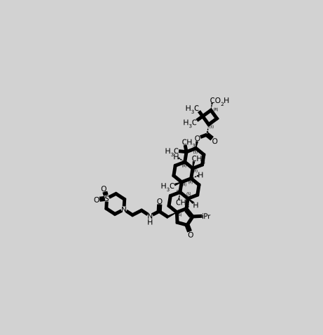 CC(C)C1=C2[C@H]3CC[C@@H]4[C@@]5(C)CC[C@H](OC(=O)[C@H]6C[C@@H](C(=O)O)C6(C)C)C(C)(C)[C@@H]5CC[C@@]4(C)[C@]3(C)CC[C@@]2(CC(=O)NCCN2CCS(=O)(=O)CC2)CC1=O